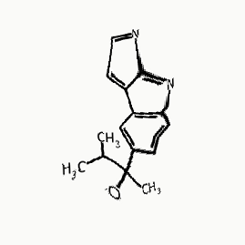 CC(C)C(C)([O])c1ccc2c(c1)C1=CC=NC1=N2